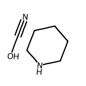 C1CCNCC1.N#CO